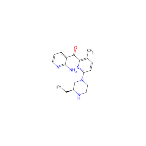 CC(C)C[C@H]1CN(c2ccc(C(F)(F)F)c(C(=O)c3cccnc3N)n2)CCN1